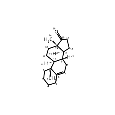 C[C@]12CCCCC1=CC[C@@H]1[C@@H]2CC[C@]2(C)C(=O)CC[C@@H]12